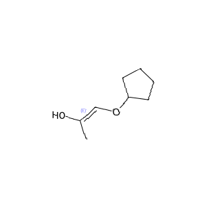 C/C(O)=C\OC1CCCC1